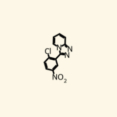 O=[N+]([O-])c1ccc(Cl)c(-c2nnc3ccccn23)c1